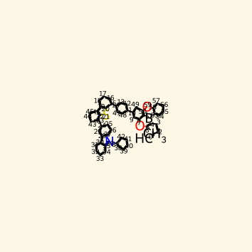 C#C/C=C\C1=C(C)Oc2cc(-c3ccc(-c4cccc5c4sc4c(-c6ccc7c(c6)c6ccccc6n7-c6ccccc6)cccc45)cc3)cc3c2B1c1ccccc1O3